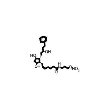 O=C(CCC/C=C\C[C@@H]1[C@@H](CC[C@@H](O)CCc2ccccc2)[C@H](O)C[C@@H]1O)NCCCO[N+](=O)[O-]